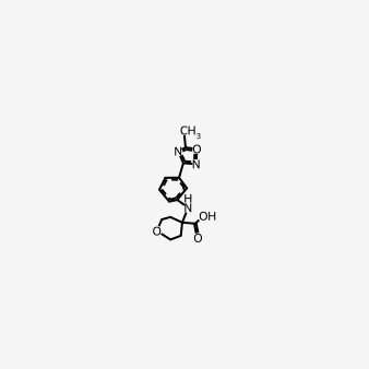 Cc1nc(-c2cccc(NC3(C(=O)O)CCOCC3)c2)no1